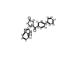 O=C1C[C@@H](c2nc3ccccc3[nH]2)N(C(=O)c2ccc(-c3ccccc3)cc2)C1